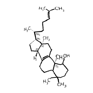 CC(C)=CCC[C@@H](C)[C@H]1CC[C@H]2C3=C(CC[C@]12C)[C@@]1(C)C(O)CCC(C)(C)C1CC3